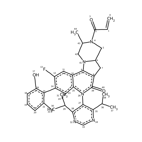 C=CC(=O)N1CC2Cc3c(c4cc(F)c(-c5c(O)cccc5F)c(F)c4n(-c4c(C(C)C)ncnc4C(C)C)c3=O)N2CC1C